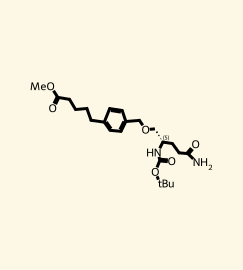 COC(=O)CCCCc1ccc(COC[C@H](CCC(N)=O)NC(=O)OC(C)(C)C)cc1